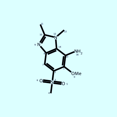 COc1c(S(C)(=O)=O)cc2nc(C)n(C)c2c1N